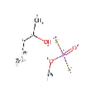 CC(C)CC(C)O.CC(C)OP(=O)([S-])[S-].[Zn+2]